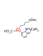 CCCCCCCCCCCCCCCCCC(=O)O.Oc1cccc2cccnc12.[CaH2]